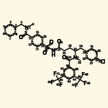 CN(Cc1ccccc1)C(=O)c1ccc(S(=O)(=O)NC(=O)CCC(Cc2ccc(Cl)cc2)N(C)C(=O)c2cc(C(F)(F)F)cc(C(F)(F)F)c2)cc1